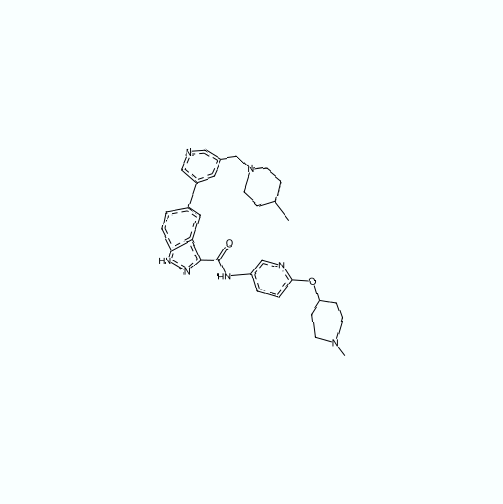 CC1CCN(Cc2cncc(-c3ccc4[nH]nc(C(=O)Nc5ccc(OC6CCN(C)CC6)nc5)c4c3)c2)CC1